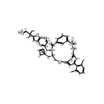 Cc1cccc(C)c1-c1cc2nc(n1)NS(=O)(=O)c1cccc(c1)C(=O)N(Cc1cnc3oc(C(C)(C)CO)cc3n1)[C@H](CC13CC(C1)C3)CO2